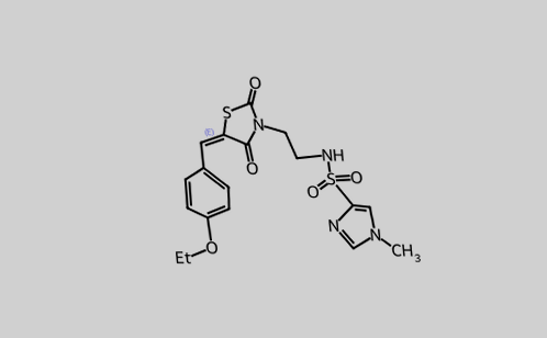 CCOc1ccc(/C=C2/SC(=O)N(CCNS(=O)(=O)c3cn(C)cn3)C2=O)cc1